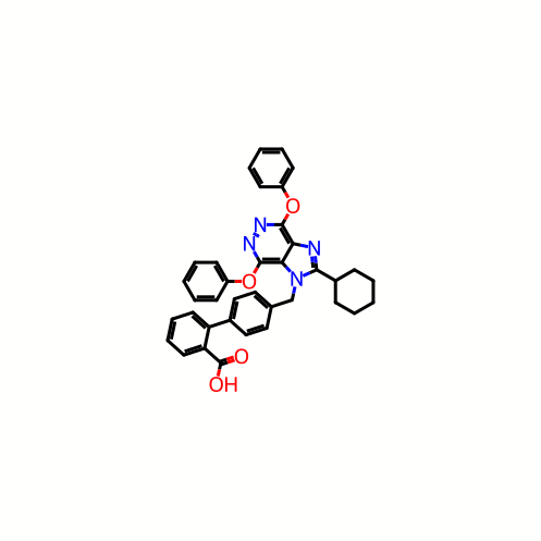 O=C(O)c1ccccc1-c1ccc(Cn2c(C3CCCCC3)nc3c(Oc4ccccc4)nnc(Oc4ccccc4)c32)cc1